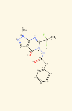 CC(F)(F)c1nc2c(cnn2C(C)(C)C)c(=O)n1NC(=O)Cc1ccccc1